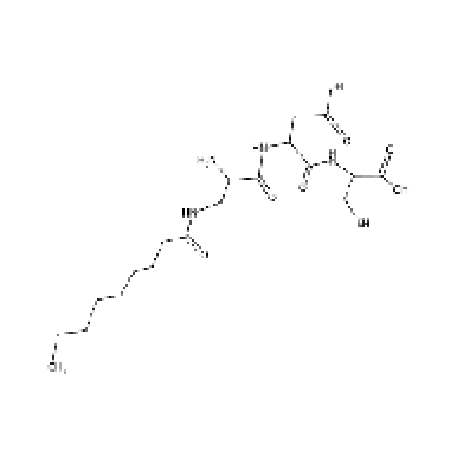 CCCCCCCCC(=O)NCC(N)C(=O)NC(CC(=O)O)C(=O)NC(CS)C(=O)O